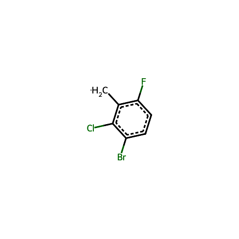 [CH2]c1c(F)ccc(Br)c1Cl